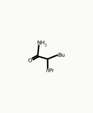 [CH2]CCC(C(N)=O)C(C)CC